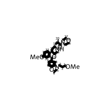 COCCCN1CCOc2ccc(CO[C@H]3CN[C@@H](C[C@@H](C)C(=O)N4CCOCC4)C[C@@H]3c3ccc(OC)cc3)cc21